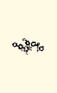 O=C(Nc1cccnc1)c1cccc([N+]2(c3ccc(Cl)cc3)C=Nc3c2nc(-c2ccc(-c4ccccc4)cc2)[nH]c3=O)c1